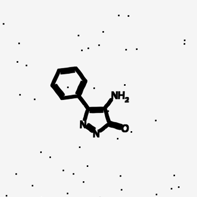 NC1=C(c2ccccc2)N=NC1=O